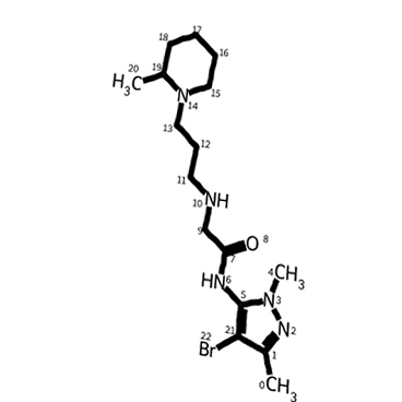 Cc1nn(C)c(NC(=O)CNCCCN2CCCCC2C)c1Br